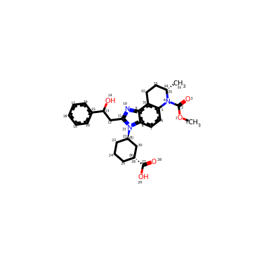 COC(=O)N1c2ccc3c(nc(CC(O)c4ccccc4)n3[C@@H]3CCC[C@@H](C(=O)O)C3)c2CC[C@@H]1C